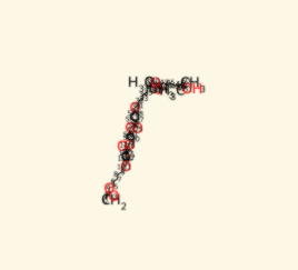 C=CC(=O)OCCCCCCOc1ccc(C(=O)Oc2ccc(OC(=O)c3ccc(OCCCCCCC(C)(C)OC(=O)CCCCCC(C)(C)O)cc3)cc2)cc1